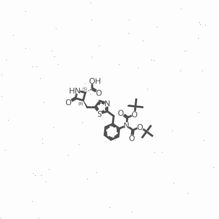 CC(C)(C)OC(=O)N(C(=O)OC(C)(C)C)c1ccccc1Cc1ncc(C[C@H]2C(=O)N[C@@H]2C(=O)O)s1